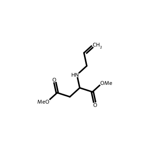 C=CCNC(CC(=O)OC)C(=O)OC